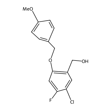 COc1ccc(COc2cc(F)c(Cl)cc2CO)cc1